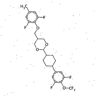 Cc1cc(F)c(OCC2COC(C3CCC(c4cc(F)c(OC(F)(F)F)c(F)c4)CC3)OC2)c(F)c1